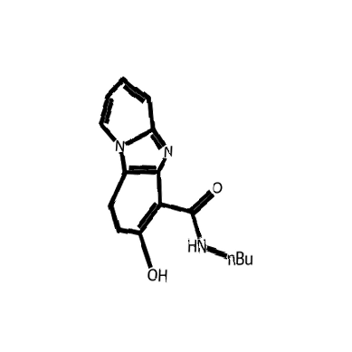 CCCCNC(=O)C1=C(O)CCc2c1nc1ccccn21